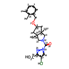 Cc1cccc(CO[C@H]2C[C@@H]3CN(C(=O)n4cc(Cl)c(C(=O)O)n4)C[C@@H]3C2)c1C